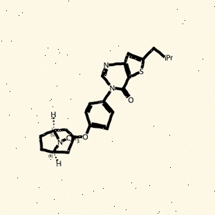 CC(C)Cc1cc2ncn(-c3ccc(OC4C[C@H]5CC[C@@H](C4)N5C)cc3)c(=O)c2s1